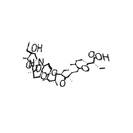 CC[C@@H](C(=O)[C@@H](C)CC[C@@H]1O[C@@H]([C@@H](CC)C(=O)O)CC[C@@H]1C)[C@H]1O[C@]2(C=C[C@@H](N)[C@]3(CC[C@@](C)([C@H]4CC[C@](O)(CC)[C@H](C)O4)O3)O2)[C@H](C)C[C@@H]1C